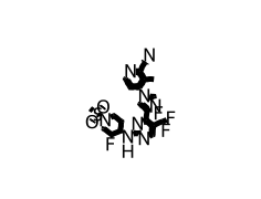 Cc1c(-n2cnc(-c3nc(N[C@H]4CCN(S(C)(=O)=O)C[C@H]4F)ncc3C(F)(F)F)c2)ccnc1C#N